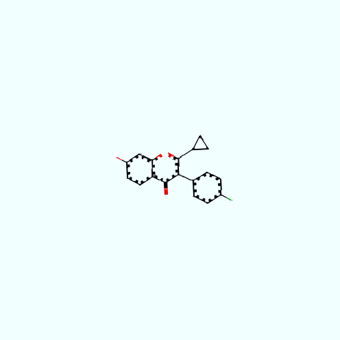 O=c1c(-c2ccc(F)cc2)c(C2CC2)oc2cc(O)ccc12